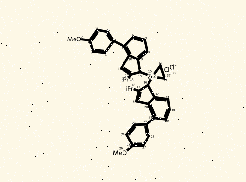 COc1ccc(-c2cccc3c2C=C(C(C)C)[CH]3[Zr+2]2([CH]3C(C(C)C)=Cc4c(-c5ccc(OC)cc5)cccc43)[CH2][CH2]2)cc1.[Cl-].[Cl-]